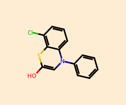 OC1=CN(c2ccccc2)c2cccc(Cl)c2S1